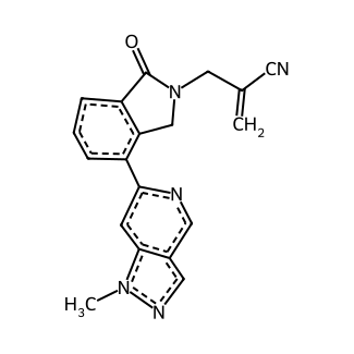 C=C(C#N)CN1Cc2c(cccc2-c2cc3c(cn2)cnn3C)C1=O